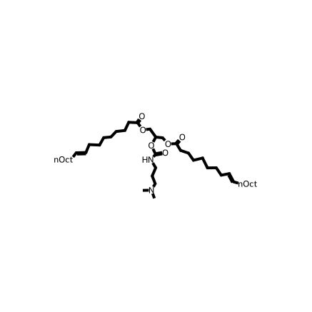 CCCCCCCCC=CCCCCCCCC(=O)OCC(COC(=O)CCCCCCCC=CCCCCCCCC)OC(=O)NCCCN(C)C